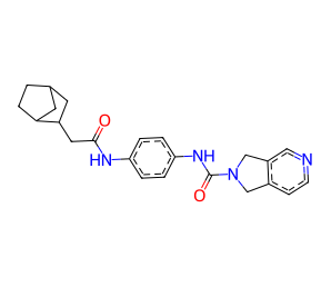 O=C(CC1CC2CCC1C2)Nc1ccc(NC(=O)N2Cc3ccncc3C2)cc1